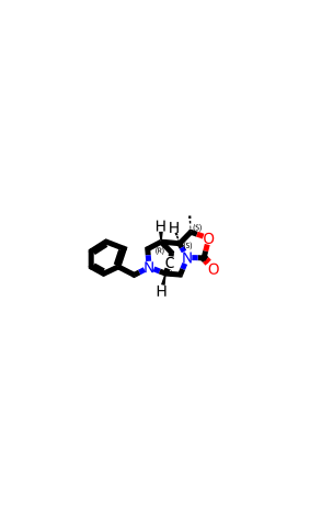 C[C@@H]1OC(=O)N2C[C@H]3CC[C@H](CN3Cc3ccccc3)[C@@H]12